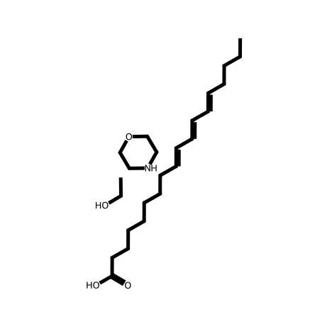 C1COCCN1.CCCCC=CC=CC=CCCCCCCCC(=O)O.CCO